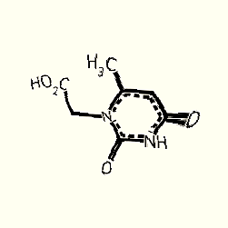 Cc1cc(=O)[nH]c(=O)n1CC(=O)O